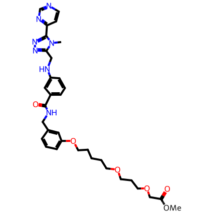 COC(=O)COCCCOCCCCCOc1cccc(CNC(=O)c2cccc(NCc3nnc(-c4ccncn4)n3C)c2)c1